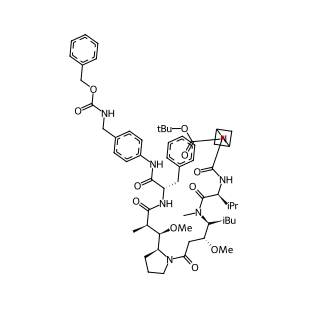 CC[C@H](C)[C@@H]([C@@H](CC(=O)N1CCC[C@H]1[C@H](OC)[C@@H](C)C(=O)N[C@@H](Cc1ccccc1)C(=O)Nc1ccc(CNC(=O)OCc2ccccc2)cc1)OC)N(C)C(=O)[C@@H](NC(=O)C1C2CC(C2)N1C(=O)OC(C)(C)C)C(C)C